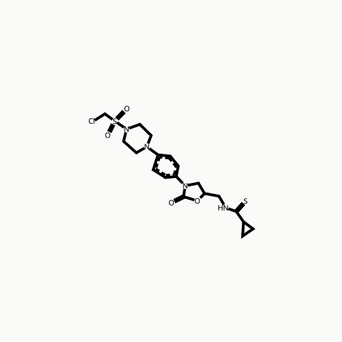 O=C1OC(CNC(=S)C2CC2)CN1c1ccc(N2CCN(S(=O)(=O)CCl)CC2)cc1